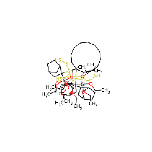 CCO[Si](OCC)(OCC)C1(S(SS)(SCC)C2CCCCCCCCCCC2(S(SS)(SCC)C2([Si](OCC)(OCC)OCC)CC3CCC2C3)S(SS)(SCC)C2([Si](OCC)(OCC)OCC)CC3CCC2C3)CC2CCC1C2